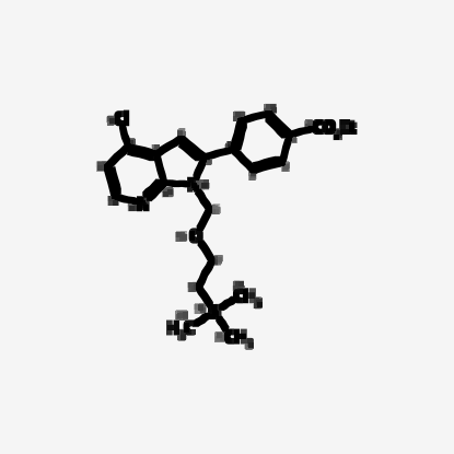 CCOC(=O)c1ccc(-c2cc3c(Cl)ccnc3n2COCC[Si](C)(C)C)cc1